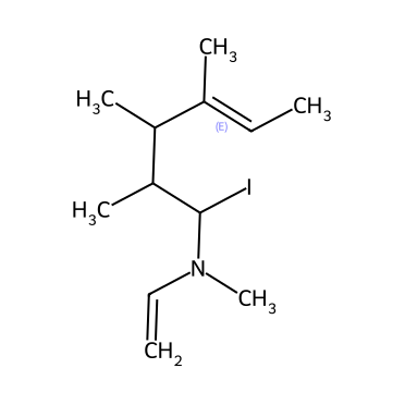 C=CN(C)C(I)C(C)C(C)/C(C)=C/C